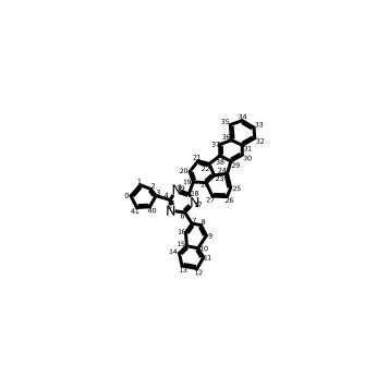 c1ccc(-c2nc(-c3ccc4ccccc4c3)nc(-c3ccc4c5c(cccc35)-c3cc5ccccc5cc3-4)n2)cc1